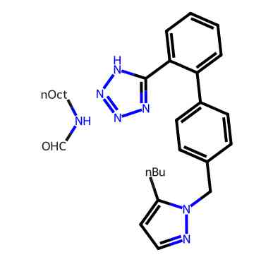 CCCCCCCCNC=O.CCCCc1ccnn1Cc1ccc(-c2ccccc2-c2nnn[nH]2)cc1